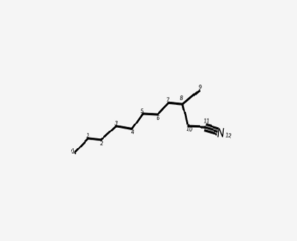 CCCCCCCCC(C)CC#N